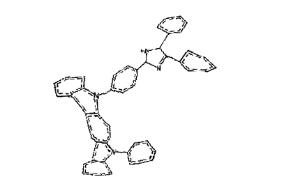 c1ccc(C2=NC(c3ccc(-n4c5ccccc5c5cc6c7ccccc7n(-c7ccccc7)c6cc54)cc3)NC2c2ccccc2)cc1